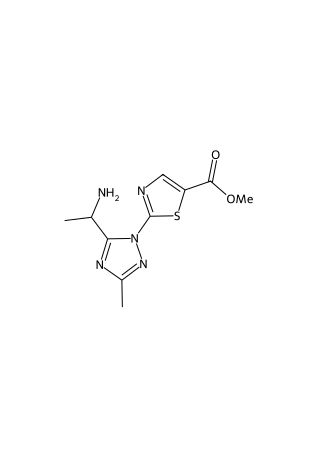 COC(=O)c1cnc(-n2nc(C)nc2C(C)N)s1